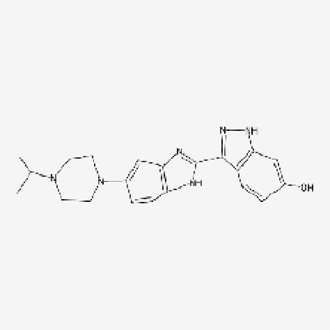 CC(C)N1CCN(c2ccc3[nH]c(-c4n[nH]c5cc(O)ccc45)nc3c2)CC1